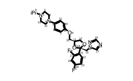 CC(C)N1CCN(c2ccc(OC[C@H]3CO[C@](Cn4cncn4)(c4ccc(F)cc4F)O3)cc2)CC1